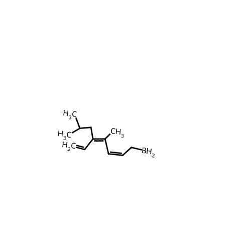 BC/C=C\C(C)=C(/C=C)CC(C)C